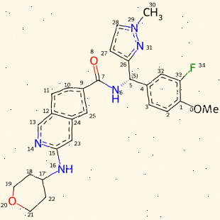 COc1ccc([C@H](NC(=O)c2ccc3cnc(NC4CCOCC4)cc3c2)c2ccn(C)n2)cc1F